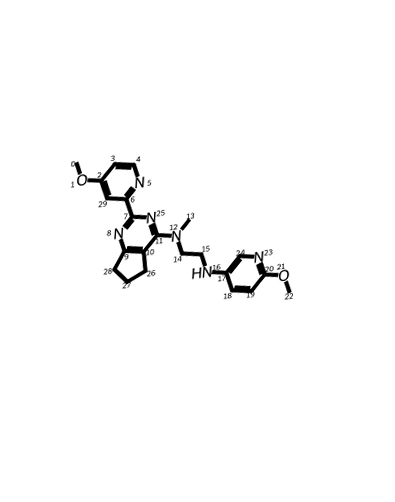 COc1ccnc(-c2nc3c(c(N(C)CCNc4ccc(OC)nc4)n2)CCC3)c1